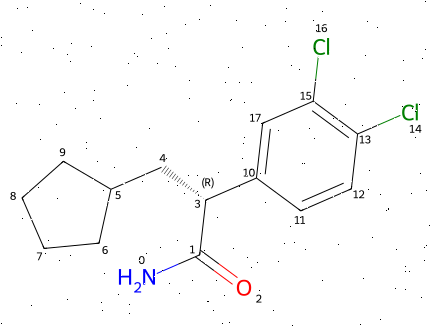 NC(=O)[C@H](CC1CCCC1)c1ccc(Cl)c(Cl)c1